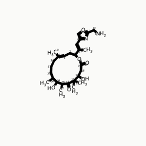 C/C1=C\CC(/C(C)=C/c2coc(CN)n2)OC(=O)CC(O)C(C)(C)C(=O)C(C)C(O)C(C)CCC1